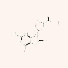 Cc1nc(N)nc2c1sc(=O)n2[C@H]1CS[C@@H](C(=O)O)O1